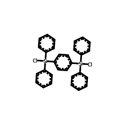 Cl[Si](c1ccccc1)(c1ccccc1)c1ccc([Si](Cl)(c2ccccc2)c2ccccc2)cc1